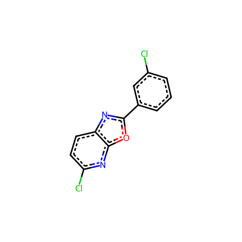 Clc1cccc(-c2nc3ccc(Cl)nc3o2)c1